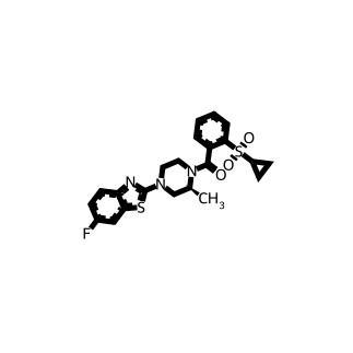 C[C@H]1CN(c2nc3ccc(F)cc3s2)CCN1C(=O)c1ccccc1S(=O)(=O)C1CC1